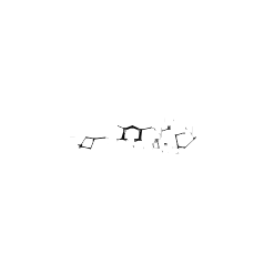 COc1nc(OCC2CC(F)(F)C2)c(F)cc1CN(C)C(=O)[C@@H]1CCCN1